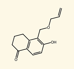 C=CCOCc1c(O)ccc2c1CCCC2=O